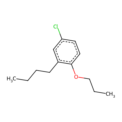 CCCCc1cc(Cl)ccc1OCCC